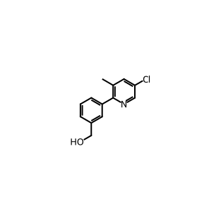 Cc1cc(Cl)cnc1-c1cccc(CO)c1